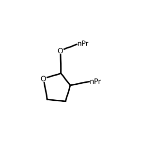 CCCOC1OCCC1CCC